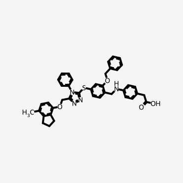 Cc1ccc(OCc2nnc(Sc3ccc(CNc4ccc(CC(=O)O)cc4)c(OCc4ccccc4)c3)n2-c2ccccc2)c2c1CCC2